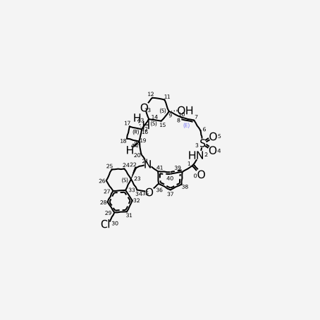 O=C1NS(=O)(=O)C/C=C/[C@]2(O)CCO[C@@H](C2)[C@@H]2CC[C@H]2CN2C[C@@]3(CCCc4cc(Cl)ccc43)COc3ccc1cc32